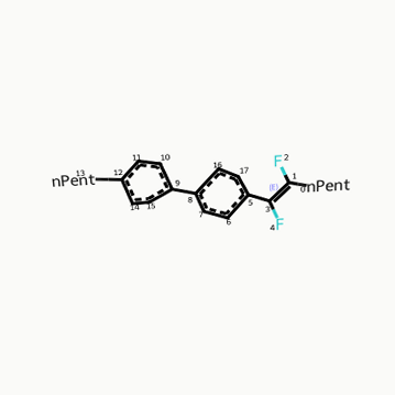 CCCCC/C(F)=C(\F)c1ccc(-c2ccc(CCCCC)cc2)cc1